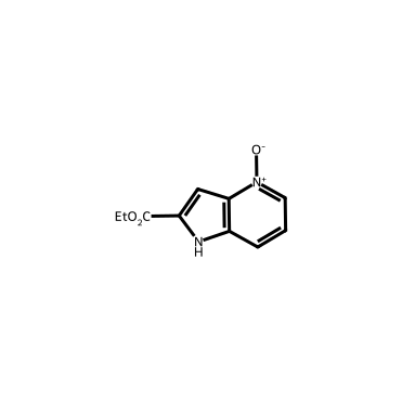 CCOC(=O)c1cc2c(ccc[n+]2[O-])[nH]1